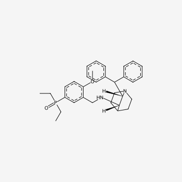 CCP(=O)(CC)c1ccc(OC)c(CN[C@H]2C3CCN(CC3)[C@H]2C(c2ccccc2)c2ccccc2)c1